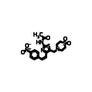 CC(=O)Nc1nc(/C=C\c2ccc([N+](=O)[O-])cc2)c(CN2CCS(=O)(=O)CC2)s1